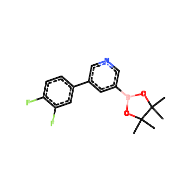 CC1(C)OB(c2cncc(-c3ccc(F)c(F)c3)c2)OC1(C)C